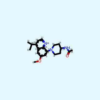 COc1cc(N2CCC(NC(C)=O)CC2)c2nccc(C(C)C)c2c1